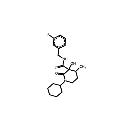 CC1CCN(C2CCCCC2)C(=O)C1(O)C(=O)NCc1cccc(F)c1